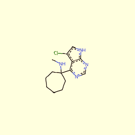 CNC1(c2ncnc3[nH]cc(Cl)c23)CCCCCC1